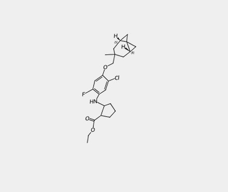 CCOC(=O)C1CCCC1Nc1cc(Cl)c(OCC2(C)C[C@@H]3CC34C[C@@H]4C2)cc1F